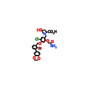 NC(=O)COc1cc(OCc2cccc(-c3ccc4c(c3)OCCO4)c2Br)c(Cl)cc1CN1CC(O)CC1C(=O)O